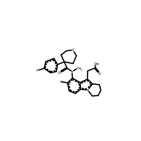 CN(C(=O)C1(c2ccc(F)cc2)CCOCC1)c1c(I)ccc2c1c(CC(=O)O)c1n2CCCC1